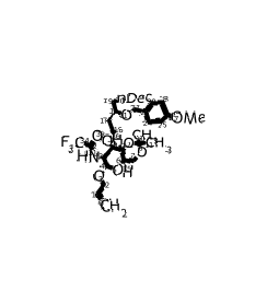 C=CCO[C@H]1O[C@@H]2COC(C)(C)O[C@H]2[C@H](OCC[C@@H](CCCCCCCCCCC)OCc2ccc(OC)cc2)[C@H]1NC(=O)C(F)(F)F